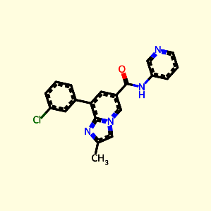 Cc1cn2cc(C(=O)Nc3cccnc3)cc(-c3cccc(Cl)c3)c2n1